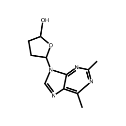 Cc1nc(C)c2ncn(C3CCC(O)O3)c2n1